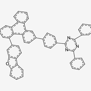 c1ccc(-c2nc(-c3ccccc3)nc(-c3ccc(-c4ccc5c(c4)c4ccccc4c4cccc(-c6ccc7c(c6)oc6ccccc67)c45)cc3)n2)cc1